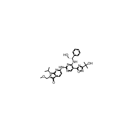 COCn1c(=O)c2ccc(Nc3ncc(-c4nc(C(C)(C)O)no4)c(N[C@H](CO)c4ccccc4)n3)nc2n1C(C)C